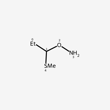 CCC(ON)SC